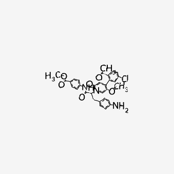 COC(=O)c1ccc(NC(=O)C(Cc2ccc(N)cc2)n2cc(OC)c(-c3cc(Cl)ccc3C(C)=O)cc2=O)cc1